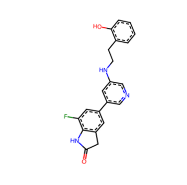 O=C1Cc2cc(-c3cncc(NCCc4ccccc4O)c3)cc(F)c2N1